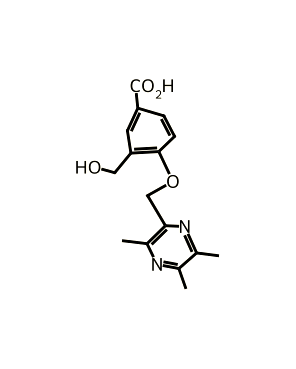 Cc1nc(C)c(COc2ccc(C(=O)O)cc2CO)nc1C